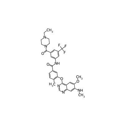 CCN1CCN(C(=O)c2cc(NC(=O)c3ccc(C)c(Oc4ncnc5cc(NC)c(OC)cc45)c3)cc(C(F)(F)F)c2)CC1